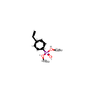 C=Cc1ccc(P(=O)(OCCCC)OCCCC)cc1